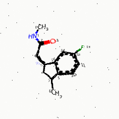 CNC(=O)/C=C1/CC(C)c2ccc(F)cc21